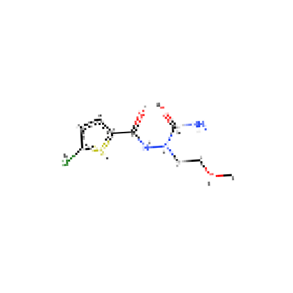 COCCN(NC(=O)c1ccc(Cl)s1)C(N)=O